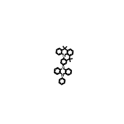 CC1(C)c2ccccc2N2c3ccc(N4c5ccccc5N(c5ccccc5)c5ccccc54)cc3C(C)(C)c3cccc1c32